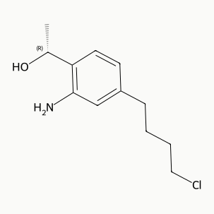 C[C@@H](O)c1ccc(CCCCCl)cc1N